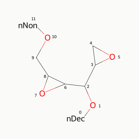 CCCCCCCCCCOC(C1CO1)C1OC1COCCCCCCCCC